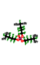 CCCCC(F)(CCC)C(F)(F)C(F)(F)C(F)(F)OP(=O)(OC(F)(F)C(F)(F)C(F)(F)C(F)(CCC)CCCC)OC(F)(F)C(F)(F)C(F)(F)C(F)(CCC)CCCC